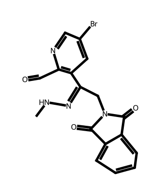 CN/N=C(/CN1C(=O)c2ccccc2C1=O)c1cc(Br)cnc1C=O